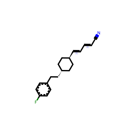 N#C/C=C/C=C/[C@H]1CC[C@H](CCc2ccc(F)cc2)CC1